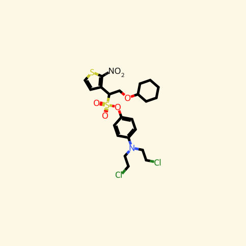 O=[N+]([O-])c1sccc1C(COC1CCCCC1)S(=O)(=O)Oc1ccc(N(CCCl)CCCl)cc1